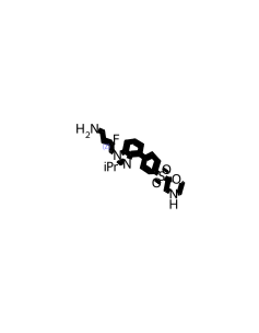 CC(C)c1nc2c(-c3ccc(S(=O)(=O)C4CNCCO4)cc3)cccc2n1C/C(F)=C/CN